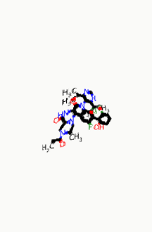 C=CC(=O)N1CC2C(=O)Nc3c(c4cc(F)c(-c5c(O)cccc5F)c(Cl)c4n(-c4c(C(C)C)ncnc4C(C)C)c3=O)N2CC1C